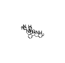 Cn1cc(N(Cc2cccc(C(Cc3ccccc3)C(N)=O)c2)[SH](=O)=O)cn1